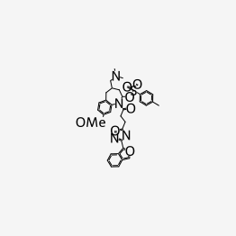 COc1ccc2c(c1)N(C(=O)CCc1nc(-c3occ4ccccc34)no1)C(OS(=O)(=O)c1ccc(C)cc1)CC(CN(C)C)C2